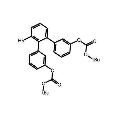 CC(C)(C)OC(=O)Oc1cccc(-c2cccc(S)c2-c2cccc(OC(=O)OC(C)(C)C)c2)c1